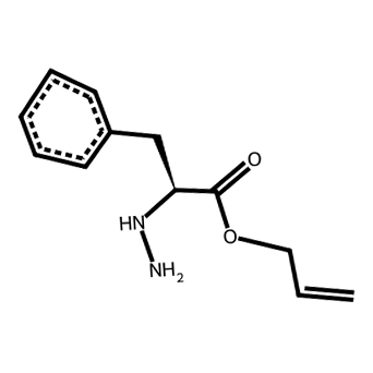 C=CCOC(=O)[C@H](Cc1ccccc1)NN